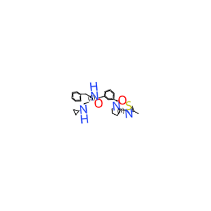 Cc1csc([C@H]2CCCN2C(=O)c2cccc(C(=O)N[C@H](CCNC3CC3)Cc3ccccc3)c2)n1